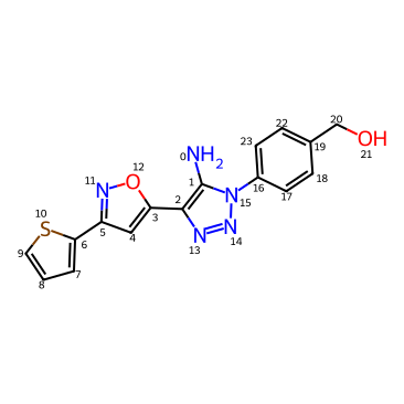 Nc1c(-c2cc(-c3cccs3)no2)nnn1-c1ccc(CO)cc1